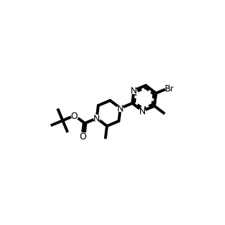 Cc1nc(N2CCN(C(=O)OC(C)(C)C)C(C)C2)ncc1Br